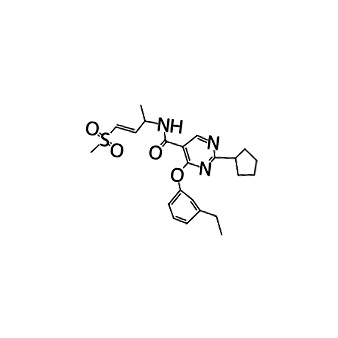 CCc1cccc(Oc2nc(C3CCCC3)ncc2C(=O)NC(C)/C=C/S(C)(=O)=O)c1